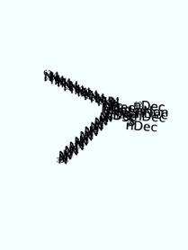 CCCCCCCCCCSC1=C(S(CCCCCCCCCC)(CCCCCCCCCC)(CCCCCCCCCC)(CCCCCCCCCC)C(CCCCCCCCC)(CCCCCCCCCC)CCCCCCCCCC)SC(=C2SC(S(#N)=NN=NN=NN=NN=NN=NN=NN=NN=NN=NC)=C(S(#N)=NN=NN=NN=NN=NN=NN=NN=NN=NN=NC)S2)S1